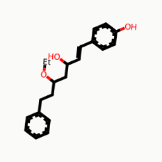 CCOC(CCc1ccccc1)CC(O)C=Cc1ccc(O)cc1